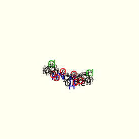 COc1cc(NC(=O)c2cc3cc(Cl)c4ccccc4c3oc2=O)ccc1NC(=O)c1cc2cc(Cl)c3ccccc3c2oc1=O